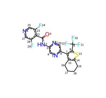 O=C(Nc1cnc(-c2c(C(F)(F)F)sc3c2CCCC3)cn1)c1c(F)cncc1F